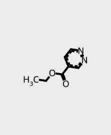 CCOC(=O)c1ccnnc1